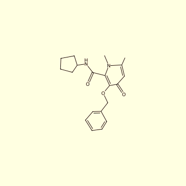 Cc1cc(=O)c(OCc2ccccc2)c(C(=O)NC2CCCC2)n1C